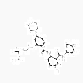 CC(C)(C)OC(=O)NCCOc1cc(N2CCOCC2)ccc1C(=O)Nc1ccc(Cl)cc1C(=O)Nc1ccc(Cl)cn1